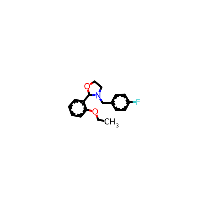 CCOc1ccccc1C1OCCN1Cc1ccc(F)cc1